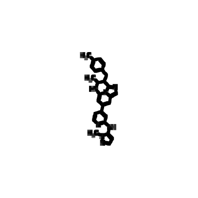 Cc1ccc(CC2c3ncc4cc(-c5ccnc(Nc6ccnn6C)c5)cc(n34)NC2C)cc1